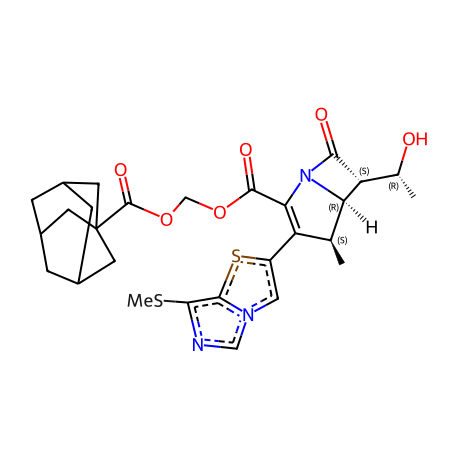 CSc1ncn2cc(C3=C(C(=O)OCOC(=O)C45CC6CC(CC(C6)C4)C5)N4C(=O)[C@H]([C@@H](C)O)[C@H]4[C@H]3C)sc12